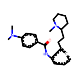 CN(C)c1ccc(C(=O)Nc2ccccc2CCC2CCCCN2C)cc1